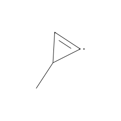 CC1[C]=C1